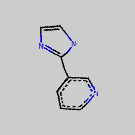 C1=CN=C(c2cccnc2)[N]1